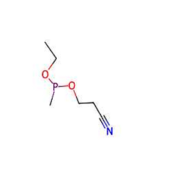 CCOP(C)OCCC#N